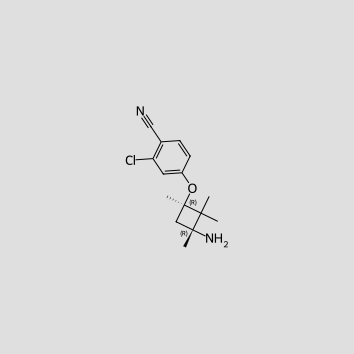 CC1(C)[C@](C)(Oc2ccc(C#N)c(Cl)c2)C[C@@]1(C)N